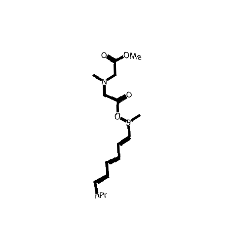 CCC/C=C/C=C/C=C/B(C)OC(=O)CN(C)CC(=O)OC